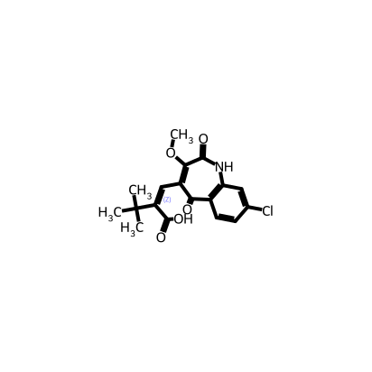 COc1c(/C=C(\C(=O)O)C(C)(C)C)c(=O)c2ccc(Cl)cc2[nH]c1=O